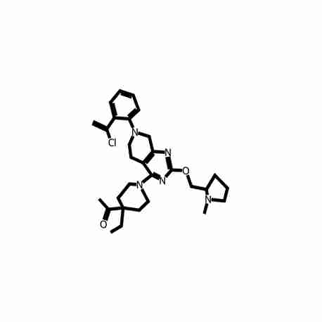 C=C(Cl)c1ccccc1N1CCc2c(nc(OCC3CCCN3C)nc2N2CCC(CC)(C(C)=O)CC2)C1